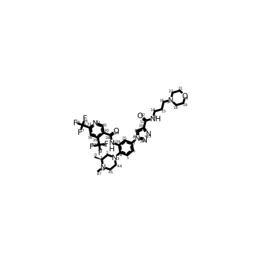 C[C@H]1CN(c2ccc(-n3cc(C(=O)NCCCN4CCOCC4)nn3)cc2NC(=O)c2cnc(C(F)(F)F)cc2C(F)(F)F)CCN1C